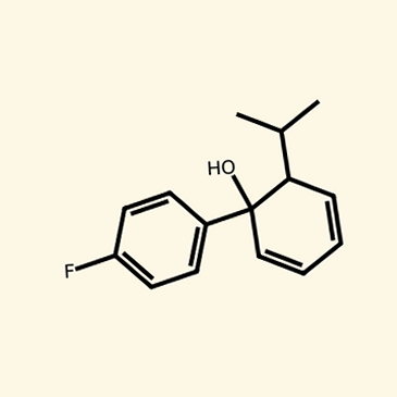 CC(C)C1C=CC=CC1(O)c1ccc(F)cc1